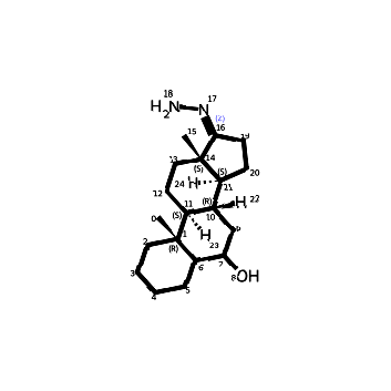 C[C@]12CCCCC1C(O)C[C@@H]1[C@@H]2CC[C@]2(C)/C(=N\N)CC[C@@H]12